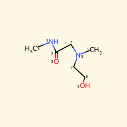 CNC(=O)CN(C)CCO